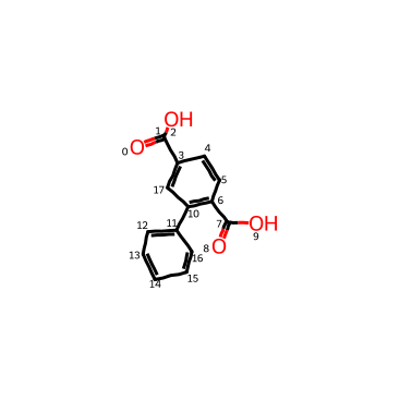 O=C(O)c1ccc(C(=O)O)c(-c2ccccc2)c1